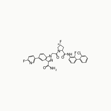 NC(=O)c1nn(CC(=O)N2C[C@H](F)CC2C(=O)Nc2cccc(-c3ccccc3Cl)c2F)c2ccc(-c3ccc(F)nc3)cc12